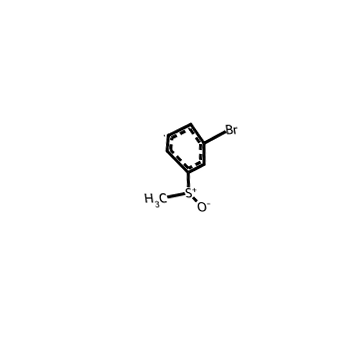 C[S+]([O-])c1c[c]cc(Br)c1